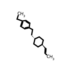 C/C=C/[C@H]1CC[C@H](CCc2ccc(CC)cc2)CC1